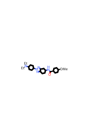 CCN(CC)c1ccc(-n2nc3ccc(NC(=O)c4ccc(OC)cc4)cc3n2)cc1